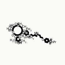 CCCS(=O)(=O)c1ccc(OCCCn2cc(CCN(C)[C@H]3C[C@@H](C)O[C@@H](O[C@@H]4[C@@H](C)[C@H](C5C[C@@](C)(OC)[C@@H](O)[C@H](C)O5)[C@@H](C)C(=O)O[C@H](CC)[C@@](C)(O)[C@H](O)[C@@H](C)N(C)C[C@H](C)C[C@@]4(C)O)[C@@H]3O)nn2)cc1